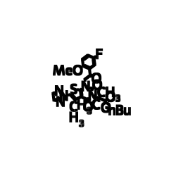 CCCCOC(=O)C(C)(C)n1c(=O)c2c(C)c(-n3nccn3)sc2n(CC(=O)c2cc(F)ccc2OC)c1=O